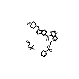 CC(C)(C)OC=O.O=C(OCCn1ccc2ncnc(Nc3ccc4c(ccn4CC4CCNCC4)c3)c21)c1ccccc1